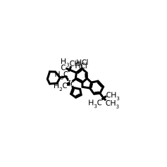 Cl.Cl.[CH2]=[Zr]([CH2]C1CCCCC1)([C]1=CC=CC1)[c]1c(C(C)(C)C)ccc2c1Cc1cc(C(C)(C)C)ccc1-2